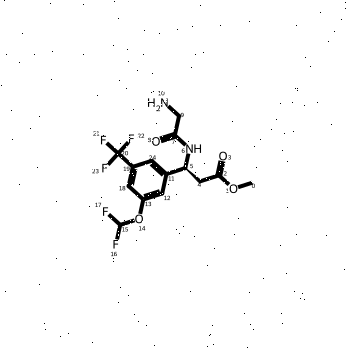 COC(=O)C[C@H](NC(=O)CN)c1cc(OC(F)F)cc(C(F)(F)F)c1